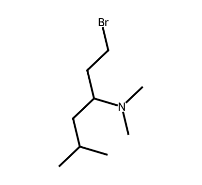 CC(C)CC(CCBr)N(C)C